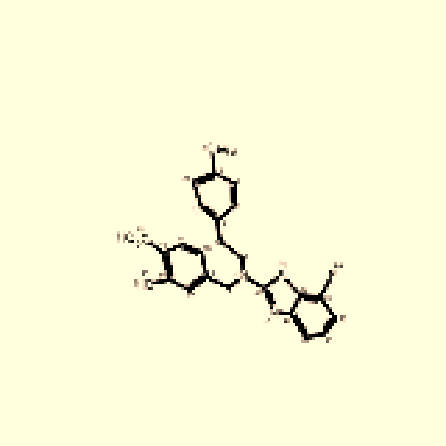 COc1ccc(CCN(Cc2ccc(C(=O)O)c(O)c2)c2nc3cccc(F)c3s2)cc1